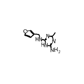 CC1N=C(N)NC(NCc2ccoc2)=N1